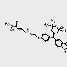 CN(C)C(=O)/C=C/CNCCOc1cnc(C(=C2CC(C)(C)OC(C)(C)C2)c2ccc3[nH]nc(F)c3c2)cn1